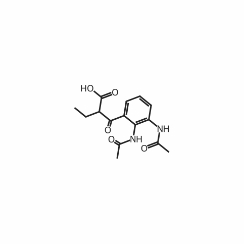 CCC(C(=O)O)C(=O)c1cccc(NC(C)=O)c1NC(C)=O